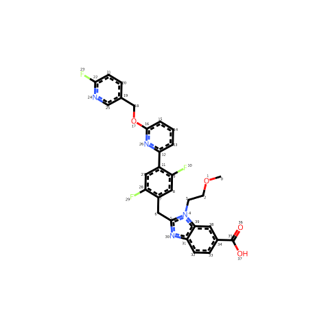 COCCn1c(Cc2cc(F)c(-c3cccc(OCc4ccc(F)nc4)n3)cc2F)nc2ccc(C(=O)O)cc21